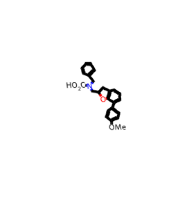 COc1ccc(-c2cccc3c2OC(CN(Cc2ccccc2)C(=O)O)C3)cc1